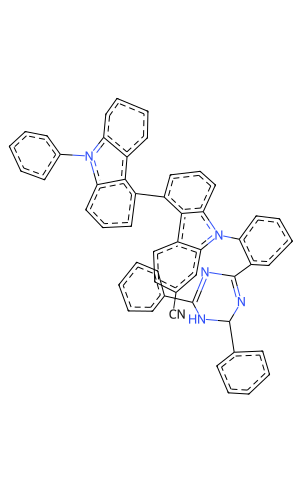 N#Cc1ccc2c3c(-c4cccc5c4c4ccccc4n5-c4ccccc4)cccc3n(-c3ccccc3C3=NC(c4ccccc4)NC(c4ccccc4)=N3)c2c1